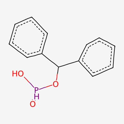 O=[PH](O)OC(c1ccccc1)c1ccccc1